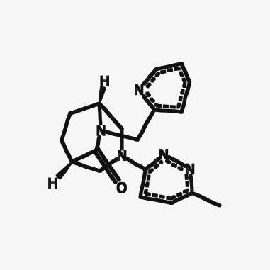 Cc1ccc(N2C[C@@H]3CC[C@H](C2)N(Cc2ccccn2)C3=O)nn1